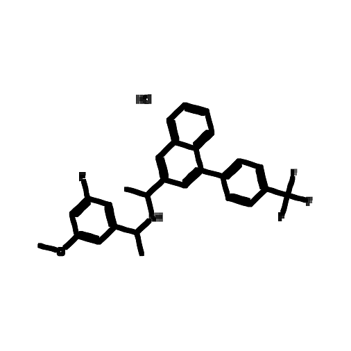 COc1cc(F)cc(C(C)NC(C)c2cc(-c3ccc(C(F)(F)F)cc3)c3ccccc3c2)c1.Cl